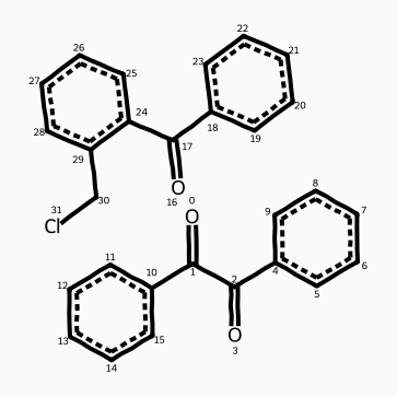 O=C(C(=O)c1ccccc1)c1ccccc1.O=C(c1ccccc1)c1ccccc1CCl